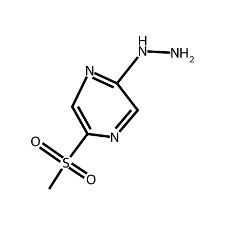 CS(=O)(=O)c1cnc(NN)cn1